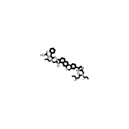 CCCN(Cc1nc2ccc3cc4c(cc3c2[nH]1)OCc1cc(-c2cnc(CN(C(=O)C[C@@H](C)CC)[C@@H](C)CC)[nH]2)ccc1-4)C(=O)[C@H](NC(=O)O)c1ccccc1